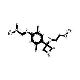 CCOCCOC1(c2cc(C)c(N=CN(C)CC)cc2C)CSC1